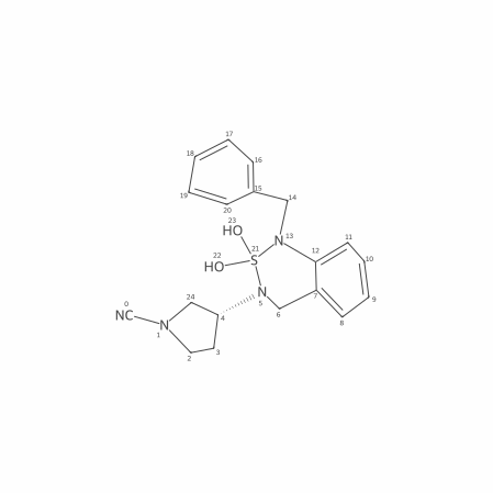 N#CN1CC[C@@H](N2Cc3ccccc3N(Cc3ccccc3)S2(O)O)C1